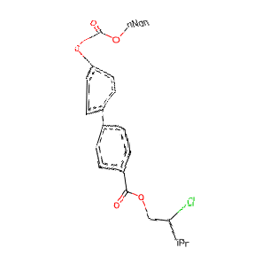 CCCCCCCCCOC(=O)Oc1ccc(-c2ccc(C(=O)OCC(Cl)C(C)C)cc2)cc1